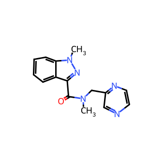 CN(Cc1cnccn1)C(=O)c1nn(C)c2ccccc12